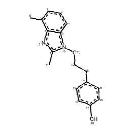 Cc1cccc2c1nc(C)n2OCCc1ccc(O)cc1